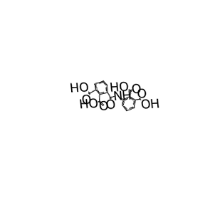 O=C(O)c1cccc(NC(=O)c2cccc(C(=O)O)c2C(=O)O)c1C(=O)O